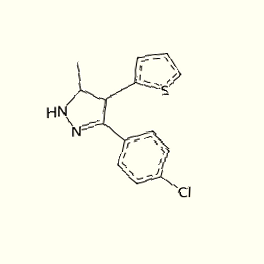 CC1NN=C(c2ccc(Cl)cc2)C1c1cccs1